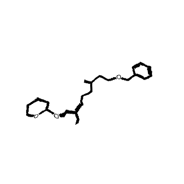 C/C(=C/CCC(C)CCOCc1ccccc1)COC1CCCCO1